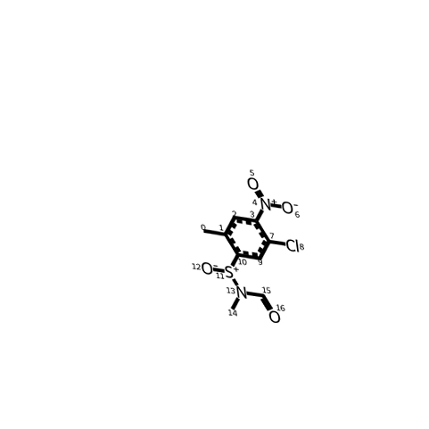 Cc1cc([N+](=O)[O-])c(Cl)cc1[S+]([O-])N(C)C=O